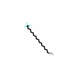 CCCCCCCCCCCCCCCCC(F)(F)F